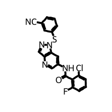 N#Cc1cccc(Sn2ncc3ncc(NC(=O)c4c(F)cccc4Cl)cc32)c1